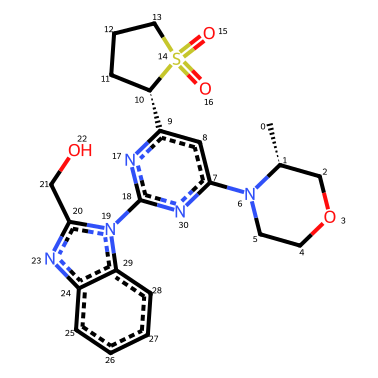 C[C@@H]1COCCN1c1cc([C@@H]2CCCS2(=O)=O)nc(-n2c(CO)nc3ccccc32)n1